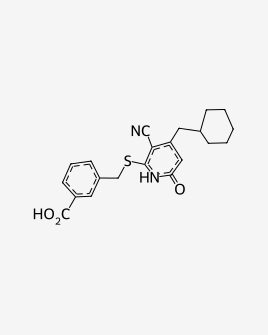 N#Cc1c(CC2CCCCC2)cc(=O)[nH]c1SCc1cccc(C(=O)O)c1